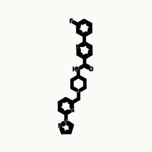 O=C(NC1CCN(Cc2cccc(-n3cccn3)n2)CC1)c1ccc(-c2cccc(F)c2)nc1